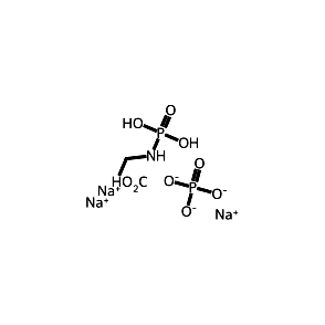 O=C(O)CNP(=O)(O)O.O=P([O-])([O-])[O-].[Na+].[Na+].[Na+]